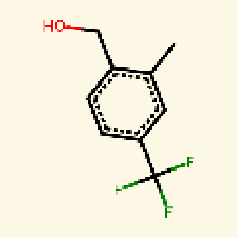 Cc1cc(C(F)(F)F)ccc1CO